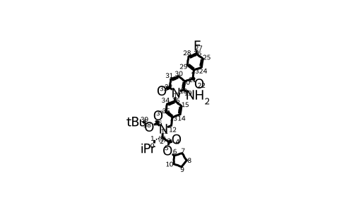 CC(C)C[C@@H](C(=O)OC1CCCC1)N(Cc1ccc(-n2c(N)c(C(=O)c3ccc(F)cc3)ccc2=O)cc1)C(=O)OC(C)(C)C